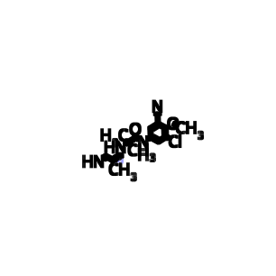 COc1c(Cl)cc(NC(=O)C(C)(C)N/C=C(/C)C=N)cc1C#N